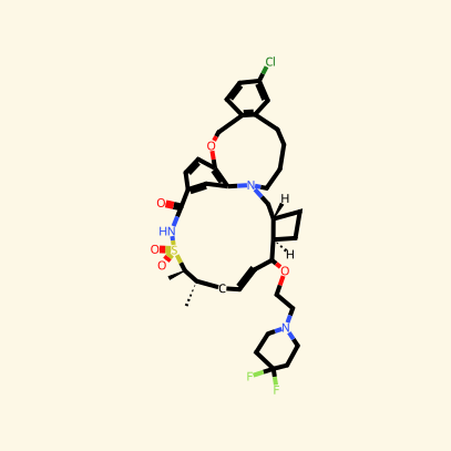 C[C@@H]1[C@@H](C)C/C=C/C(OCCN2CCC(F)(F)CC2)[C@@H]2CC[C@H]2CN2CCCCc3cc(Cl)ccc3COc3ccc(cc32)C(=O)NS1(=O)=O